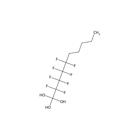 CCCCCC(F)(F)C(F)(F)C(F)(F)C(F)(F)C(O)(O)O